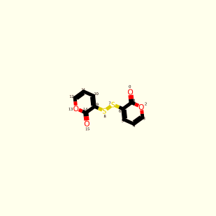 O=c1occcc1SSc1cccoc1=O